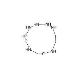 C1CNCPNNNNCCN1